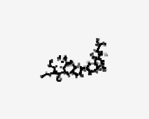 CCCN(CCC)C(=O)C1=Cc2ccc(-c3ccc(C=O)c(N(C)C(=O)N(C)CC(C)C)c3)cc2N=C(N)C1